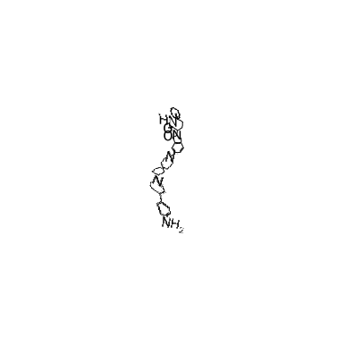 Nc1ccc(C2CCN(C3CCC4(CCN(c5ccc6c(c5)C(=O)N(C5CCC(=O)NC5=O)C6)CC4)C3)CC2)cc1